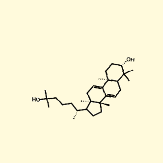 C[C@H](CCCC(C)(C)O)C1CC[C@@]2(C)C3=CCC4C(C)(C)[C@@H](O)CC[C@]4(C)C3=CC[C@]12C